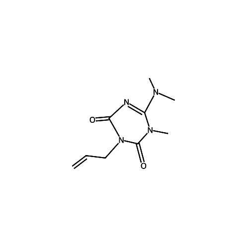 C=CCn1c(=O)nc(N(C)C)n(C)c1=O